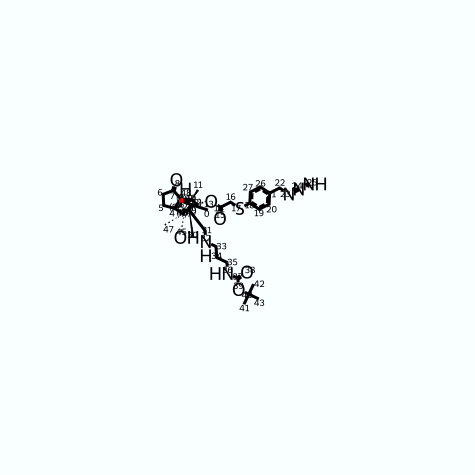 CC1CC[C@@]23CCC(=O)[C@H]2[C@]1(C)[C@H](OC(=O)CSc1ccc(CN=[N+]=N)cc1)C[C@](C)(CNCCCNC(=O)OC(C)(C)C)[C@@H](O)[C@@H]3C